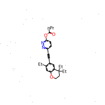 CCCC(=O)Oc1ccc(C#Cc2cc3c(cc2CC)OCCC3(CC)CC)nn1